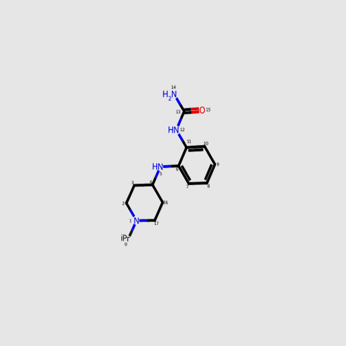 CC(C)N1CCC(Nc2ccccc2NC(N)=O)CC1